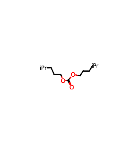 CC(C)CCCOC(=O)OCCCC(C)C